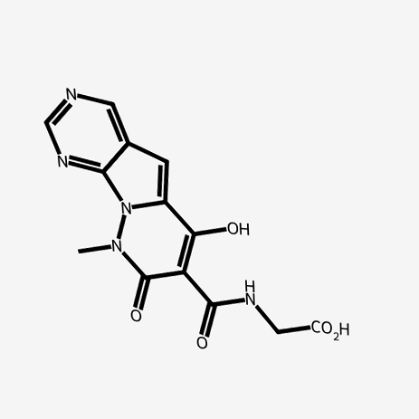 Cn1c(=O)c(C(=O)NCC(=O)O)c(O)c2cc3cncnc3n21